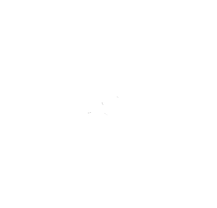 CCCCCCCCCCCCCCCC(=O)OCC(COC(=O)CCCCCCCCCCCCCCC)OC(=O)CC(C)C(C)C(C)C=O